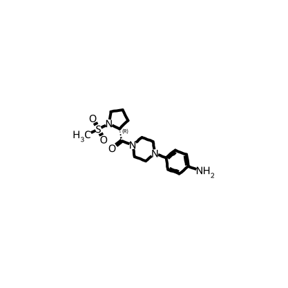 CS(=O)(=O)N1CCC[C@@H]1C(=O)N1CCN(c2ccc(N)cc2)CC1